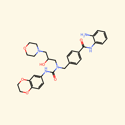 Nc1ccccc1NC(=O)c1ccc(CN(CC(O)CN2CCOCC2)C(=O)Nc2ccc3c(c2)OCCO3)cc1